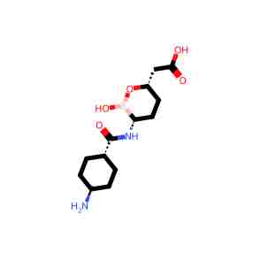 N[C@H]1CC[C@H](C(=O)N[C@H]2CC[C@@H](CC(=O)O)OB2O)CC1